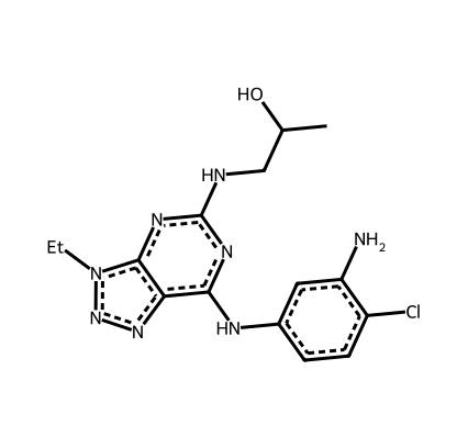 CCn1nnc2c(Nc3ccc(Cl)c(N)c3)nc(NCC(C)O)nc21